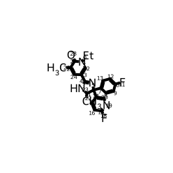 CCn1cc(C2=NC(c3ccc(F)cc3)(c3ccc(F)nc3)C(C)N2)cc(C)c1=O